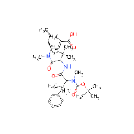 C=CC[C@@H](C=C(C)C(=O)O)N(C)C(=O)C(NC(=O)C(N(C)C(=O)OC(C)(C)C)C(C)(C)c1ccccc1)C(C)(C)C